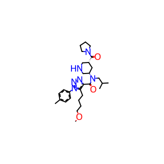 COCCCCc1c(C(=O)N(CC(C)C)[C@@H]2CNC[C@H](C(=O)N3CCCC3)C2)nnn1-c1ccc(C)cc1